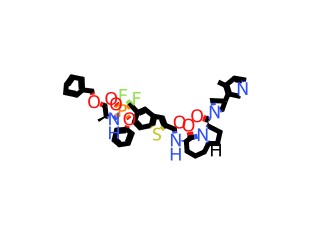 Cc1ccncc1C1CN(C(=O)[C@@H]2CC[C@@H]3CCC[C@H](NC(=O)c4cc5cc(C(F)(F)P(=O)(N[C@@H](C)C(=O)OCc6ccccc6)Oc6ccccc6)ccc5s4)C(=O)N32)C1